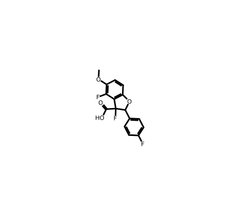 COc1ccc2c(c1F)C(F)(C(=O)O)C(c1ccc(F)cc1)O2